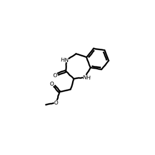 COC(=O)CC1Nc2ccccc2CNC1=O